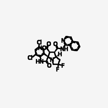 O=C(Nc1nccc2ccccc12)[C@H]1[C@H]2CC(F)(F)CN2[C@]2(C(=O)Nc3c(Cl)cc(Cl)cc32)[C@H]1C(=O)O